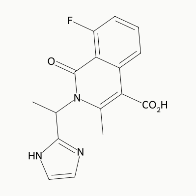 Cc1c(C(=O)O)c2cccc(F)c2c(=O)n1C(C)c1ncc[nH]1